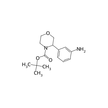 CC(C)(C)OC(=O)N1CCOCC1c1cccc(N)c1